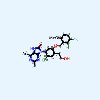 COc1ccc(F)c(F)c1COc1cc(-n2c(=O)[nH]c3c(C(C)=O)nc(C)nc32)c(Cl)cc1CCO